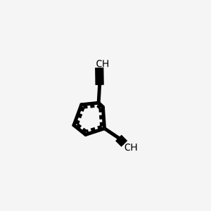 C#Cc1cccc(C#C)c1